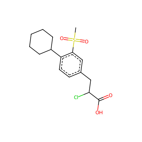 CS(=O)(=O)c1cc(CC(Cl)C(=O)O)ccc1C1CCCCC1